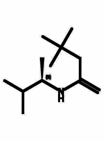 C=C(CC(C)(C)C)N[C@@H](C)C(C)C